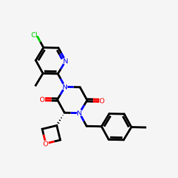 Cc1ccc(CN2C(=O)CN(c3ncc(Cl)cc3C)C(=O)[C@H]2C2COC2)cc1